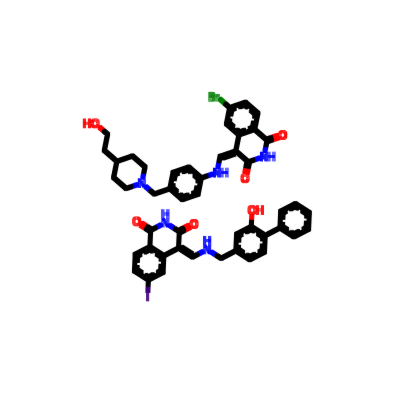 O=C1NC(=O)c2ccc(Br)cc2C1=CNc1ccc(CN2CCC(CCO)CC2)cc1.O=C1NC(=O)c2ccc(I)cc2C1=CNCc1ccc(-c2ccccc2)c(O)c1